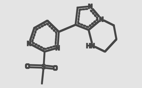 CS(=O)(=O)c1nccc(-c2cnn3c2NCCC3)n1